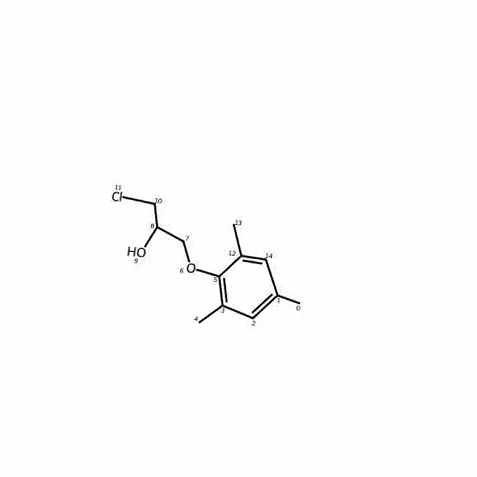 Cc1cc(C)c(OCC(O)CCl)c(C)c1